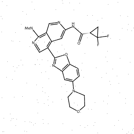 CNc1ncc(-c2nc3cc(N4CCOCC4)ccc3o2)c2cc(NC(=O)[C@@H]3CC3(F)F)ncc12